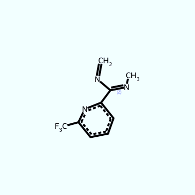 C=N/C(=N\C)c1cccc(C(F)(F)F)n1